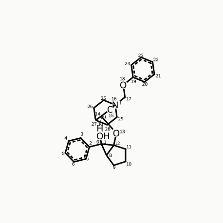 OC1(c2ccccc2)C2CCCC21O[C@@H]1C[N+]2(COc3ccccc3)CCC1CC2